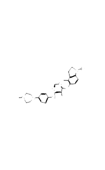 CC(C)N1CCc2c1ccc(Oc1ncnc(Nc3ccc(N4CCN(C)CC4)cc3)c1F)c2F